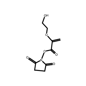 C=C(OCCO)C(=O)ON1C(=O)CCC1=O